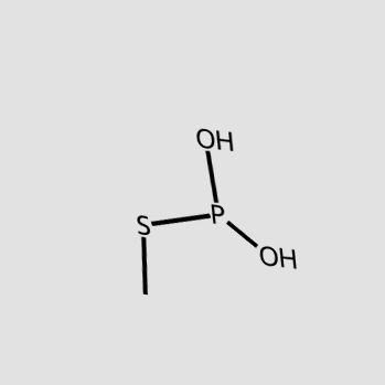 CSP(O)O